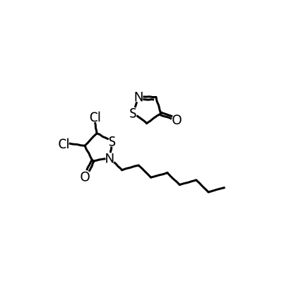 CCCCCCCCN1SC(Cl)C(Cl)C1=O.O=C1C=NSC1